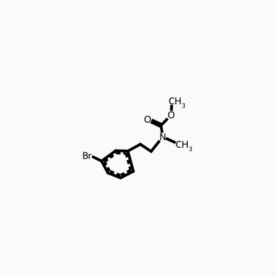 COC(=O)N(C)CCc1cccc(Br)c1